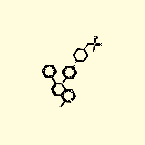 O=P(O)(O)C[C@H]1CC[C@H](c2ccc(N3C(c4ccccc4)=C=Cc4c(Cl)ncnc43)cc2)CC1